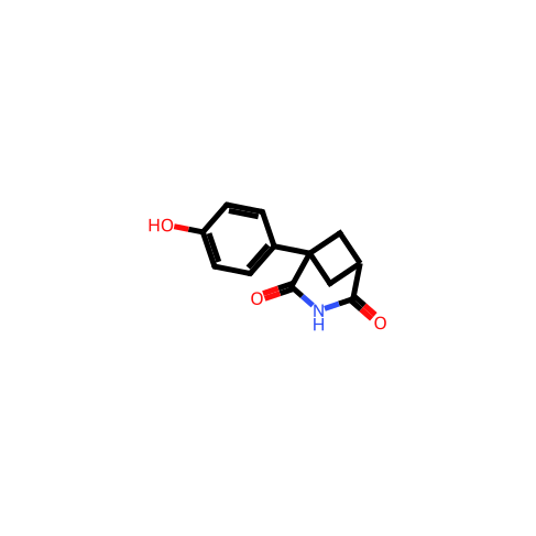 O=C1NC(=O)C2(c3ccc(O)cc3)CC1C2